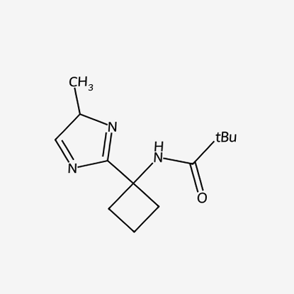 CC1C=NC(C2(NC(=O)C(C)(C)C)CCC2)=N1